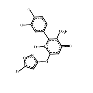 CCc1cc(Oc2cc(=O)c(C(=O)O)c(-c3ccc(Cl)c(Cl)c3)n2CC)no1